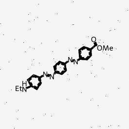 CCNc1ccc(N=Nc2ccc(N=Nc3ccc(C(=O)OC)cc3)cc2)cc1